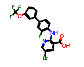 O=C(O)c1cc(Br)cnc1Nc1ccc(-c2cccc(OC(F)(F)F)c2)cc1F